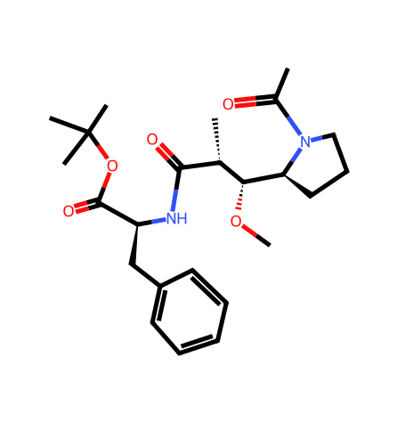 CO[C@H]([C@@H](C)C(=O)N[C@@H](Cc1ccccc1)C(=O)OC(C)(C)C)[C@@H]1CCCN1C(C)=O